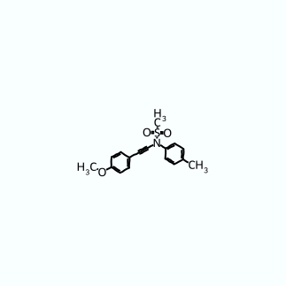 COc1ccc(C#CN(c2ccc(C)cc2)S(C)(=O)=O)cc1